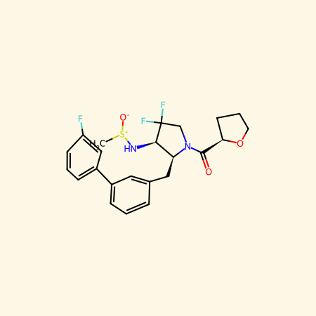 C[S+]([O-])N[C@@H]1[C@H](Cc2cccc(-c3cccc(F)c3)c2)N(C(=O)[C@H]2CCCO2)CC1(F)F